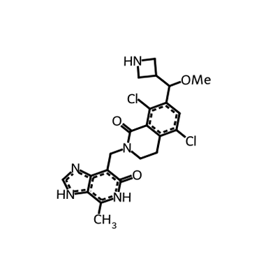 COC(c1cc(Cl)c2c(c1Cl)C(=O)N(Cc1c(=O)[nH]c(C)c3[nH]cnc13)CC2)C1CNC1